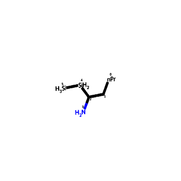 CCCCC(N)[SiH2][SiH3]